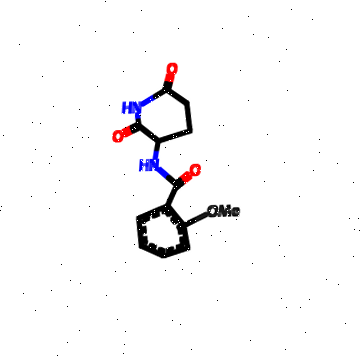 COc1ccccc1C(=O)NC1CCC(=O)NC1=O